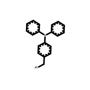 CC(C)Cc1ccc(N(c2ccccc2)c2ccccc2)cc1